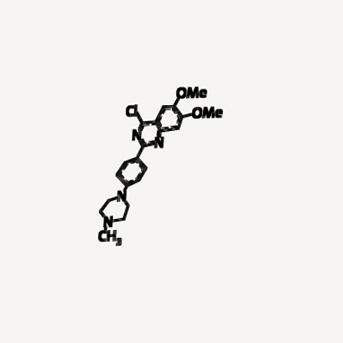 COc1cc2nc(-c3ccc(N4CCN(C)CC4)cc3)nc(Cl)c2cc1OC